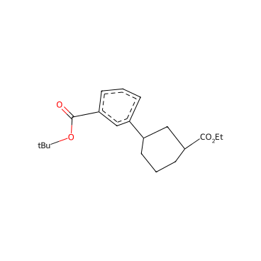 CCOC(=O)C1CCCC(c2cccc(C(=O)OC(C)(C)C)c2)C1